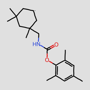 Cc1cc(C)c(OC(=O)NCC2(C)C[CH]CC(C)(C)C2)c(C)c1